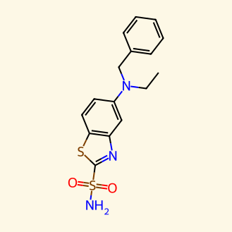 CCN(Cc1ccccc1)c1ccc2sc(S(N)(=O)=O)nc2c1